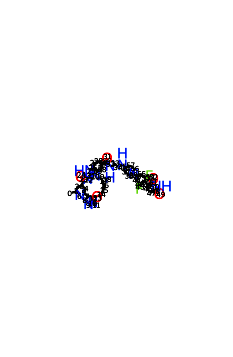 Cc1cc2cc(n1)-c1cnn(C)c1OCCC[C@@H](C)CN1/C(=N/C2=O)Nc2ccc(C(=O)NCCNC3CCN(c4cc(F)c([C@H]5CCC(=O)NC5=O)c(F)c4)CC3)cc21